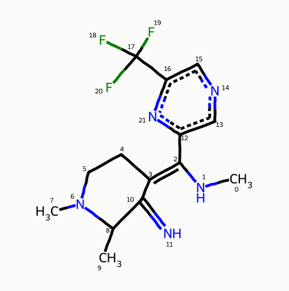 CN/C(=C1/CCN(C)C(C)C1=N)c1cncc(C(F)(F)F)n1